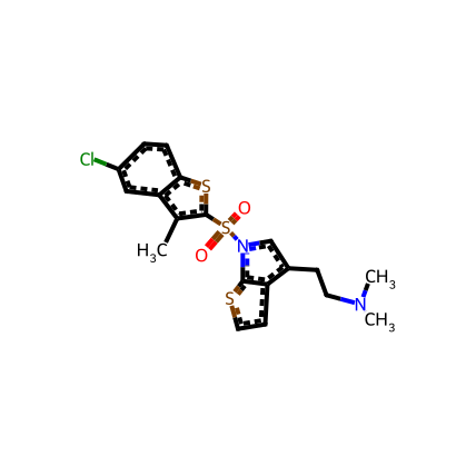 Cc1c(S(=O)(=O)n2cc(CCN(C)C)c3ccsc32)sc2ccc(Cl)cc12